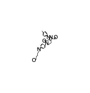 Cc1ccc(-n2nc(C=O)c3c2C(=O)N(c2ccc(N(C)CCCCC=O)cc2)CC3)cc1